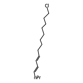 CCCC=CC=CCCCCCCCCCl